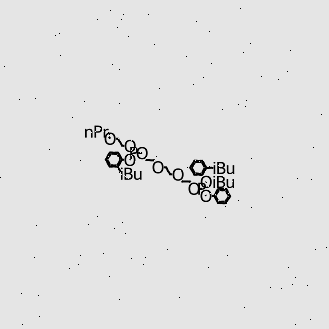 CCCOCCOP(OCCOCCOCCOP(Oc1ccccc1C(C)CC)Oc1ccccc1C(C)CC)Oc1ccccc1C(C)CC